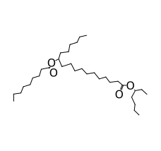 CCCCCCCCC(=O)OC(CCCCCC)CCCCCCCCCCC(=O)OC(CC)CCCC